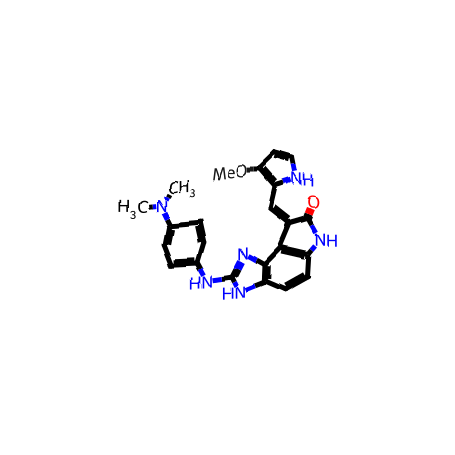 COc1cc[nH]c1C=C1C(=O)Nc2ccc3[nH]c(Nc4ccc(N(C)C)cc4)nc3c21